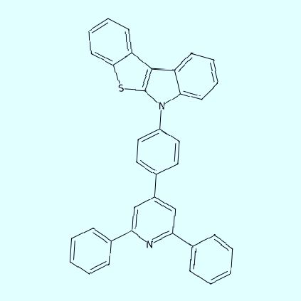 c1ccc(-c2cc(-c3ccc(-n4c5ccccc5c5c6ccccc6sc54)cc3)cc(-c3ccccc3)n2)cc1